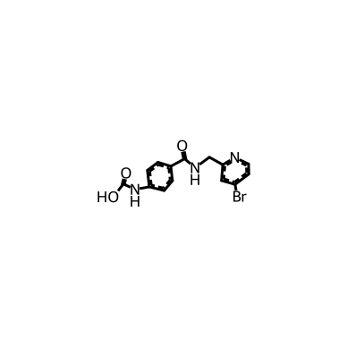 O=C(O)Nc1ccc(C(=O)NCc2cc(Br)ccn2)cc1